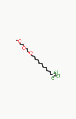 COCCOCCOCCCCCCCCCCC[Si](Cl)(Cl)Cl